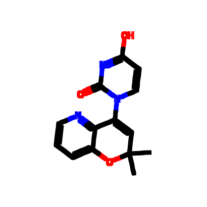 CC1(C)C=C(n2ccc(O)nc2=O)c2ncccc2O1